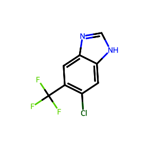 FC(F)(F)c1cc2nc[nH]c2cc1Cl